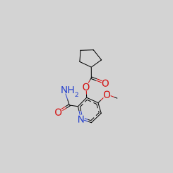 COc1ccnc(C(N)=O)c1OC(=O)C1CCCC1